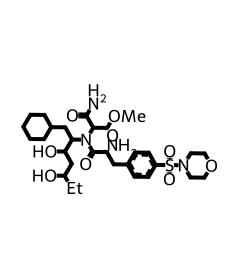 CCC(O)CC(O)C(CC1CCCCC1)N(C(=O)[C@@H](N)Cc1ccc(S(=O)(=O)N2CCOCC2)cc1)C(C(N)=O)C(=O)OC